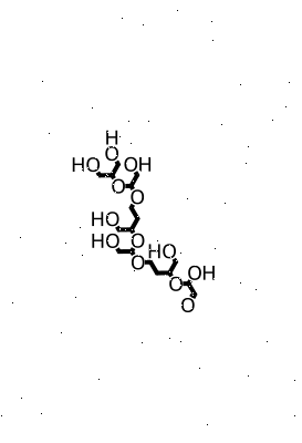 O=CC(O)OC(CO)CCOC(CO)OC(CO)CCOC(CO)OC(CO)CO